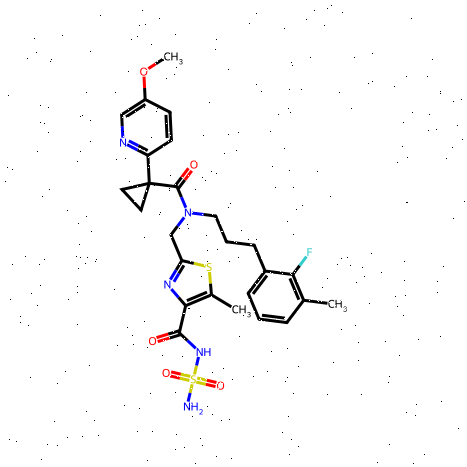 COc1ccc(C2(C(=O)N(CCCc3cccc(C)c3F)Cc3nc(C(=O)NS(N)(=O)=O)c(C)s3)CC2)nc1